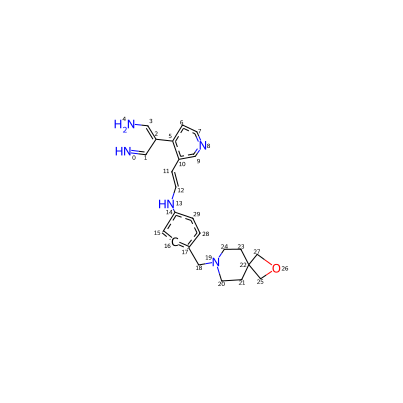 N=C/C(=C\N)c1ccncc1/C=C/Nc1ccc(CN2CCC3(CC2)COC3)cc1